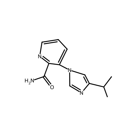 CC(C)c1cn(-c2cccnc2C(N)=O)cn1